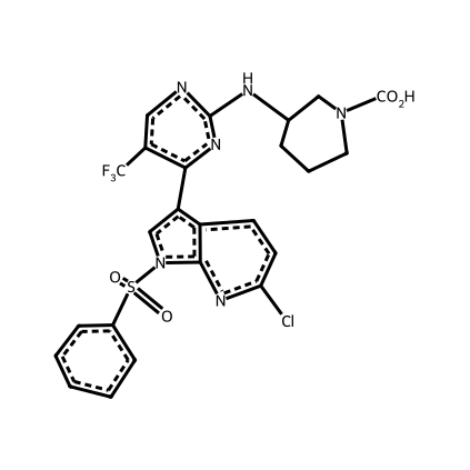 O=C(O)N1CCCC(Nc2ncc(C(F)(F)F)c(-c3cn(S(=O)(=O)c4ccccc4)c4nc(Cl)ccc34)n2)C1